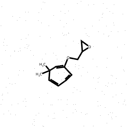 CC1(C)C=CC=CC(OCC2CO2)=C1